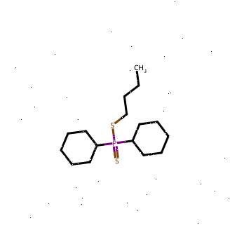 CCCCSP(=S)(C1CCCCC1)C1CCCCC1